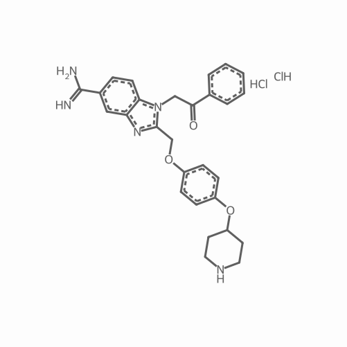 Cl.Cl.N=C(N)c1ccc2c(c1)nc(COc1ccc(OC3CCNCC3)cc1)n2CC(=O)c1ccccc1